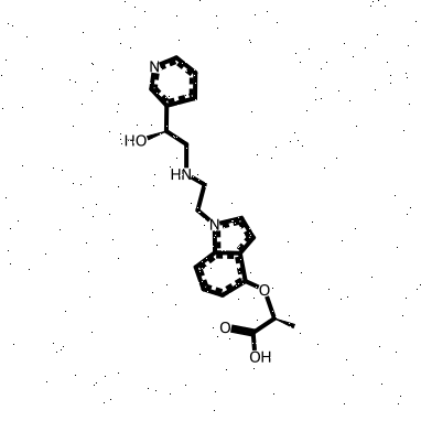 C[C@H](Oc1cccc2c1ccn2CCNC[C@@H](O)c1cccnc1)C(=O)O